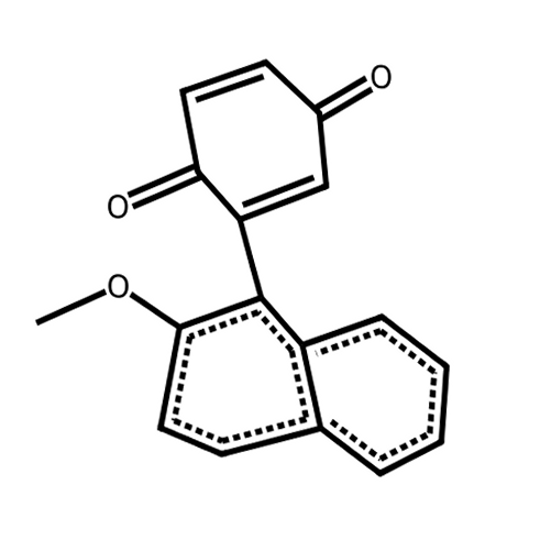 COc1ccc2ccccc2c1C1=CC(=O)C=CC1=O